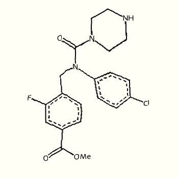 COC(=O)c1ccc(CN(C(=O)N2CCNCC2)c2ccc(Cl)cc2)c(F)c1